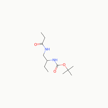 CCC(=O)NCC(CC)NC(=O)OC(C)(C)C